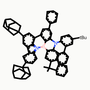 CC(C)(C)c1ccc(N2c3cc4c(cc3B3c5c(cc(-c6ccccc6)cc52)-c2cc(C56CC7CC(CC(C7)C5)C6)cc5c6cc(C78CC9CC(CC(C9)C7)C8)ccc6n3c25)C(C)(C)c2ccccc2-4)c(-c2ccccc2)c1